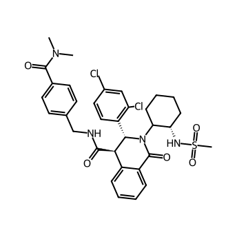 CN(C)C(=O)c1ccc(CNC(=O)[C@@H]2c3ccccc3C(=O)N(C3CCCC[C@@H]3NS(C)(=O)=O)[C@H]2c2ccc(Cl)cc2Cl)cc1